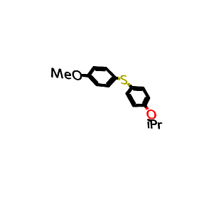 COc1ccc(Sc2ccc(OC(C)C)cc2)cc1